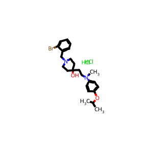 CC(C)Oc1ccc(N(C)CCC2(O)CCN(Cc3ccccc3Br)CC2)cc1.Cl.Cl